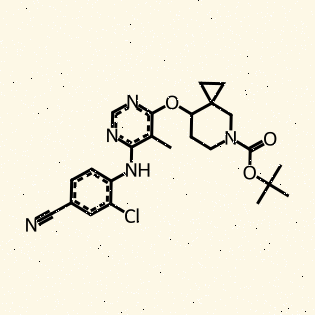 Cc1c(Nc2ccc(C#N)cc2Cl)ncnc1OC1CCN(C(=O)OC(C)(C)C)CC12CC2